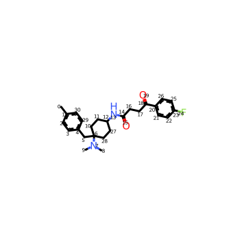 Cc1ccc(CC2(N(C)C)CCC(NC(=O)CCC(=O)c3ccc(F)cc3)CC2)cc1